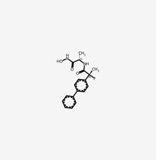 C[C@H](NC(=O)[C@](C)(F)c1ccc(-c2ccccc2)cc1)C(=O)NO